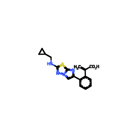 C=C(C(=O)O)c1ccccc1-c1cn2nc(NCC3CC3)sc2n1